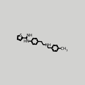 Cc1ccc(CNCCc2ccc(NC(=N)c3cccs3)cc2)cc1